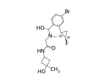 CC1(O)CC(NC(=O)CN2C[C@@]3(C[C@H]3F)c3cc(Br)ccc3C2O)C1